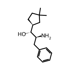 CC1(C)CC[C@H]([C@@H](O)[C@@H](N)Cc2ccccc2)C1